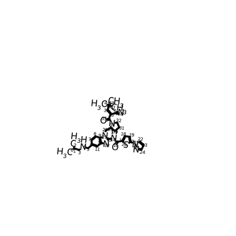 CC(C)CNCc1ccc2c(c1)nc(NC(=O)c1ccc(-n3cccn3)s1)n2CC1CCCN1C(=O)C(C#N)=CC(C)(C)C